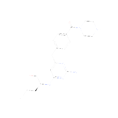 CCC[C@@H](CO)Nc1cc(Cc2ccc(C(=O)N3CCNCC3)cc2)nc(N)n1